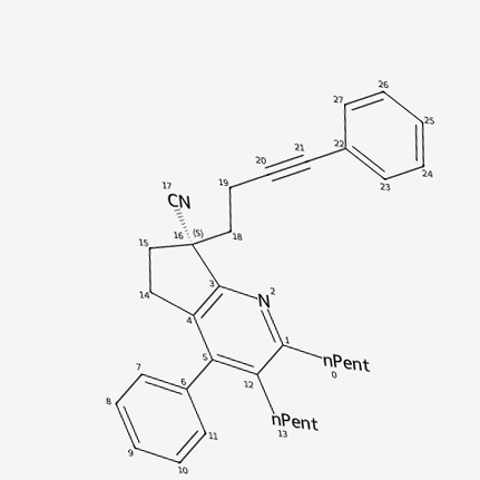 CCCCCc1nc2c(c(-c3ccccc3)c1CCCCC)CC[C@@]2(C#N)CCC#Cc1ccccc1